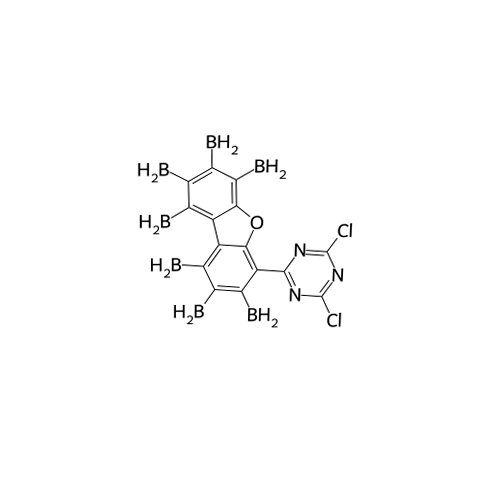 Bc1c(B)c(B)c2c(oc3c(-c4nc(Cl)nc(Cl)n4)c(B)c(B)c(B)c32)c1B